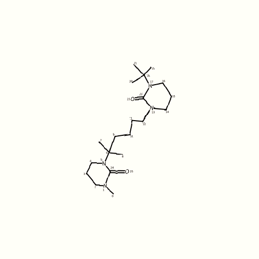 CN1CCCN(C(C)(C)CCCCN2CCCN(C(C)(C)C)C2=O)C1=O